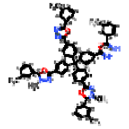 CN1N=C(c2ccc(C(c3ccc(C(=N)OC(=N)C4C=CC=C(C(F)(F)F)C4)cc3)(c3ccc(C4=NN(C)C(c5cccc(C(F)(F)F)c5)O4)cc3)c3ccc(-c4nnc(-c5cccc(C(F)(F)F)c5)o4)cc3)cc2)OC1c1cccc(C(F)(F)F)c1